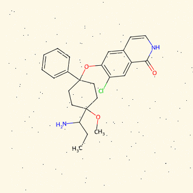 CCC(N)C1(OC)CCC(Oc2cc3cc[nH]c(=O)c3cc2Cl)(c2ccccc2)CC1